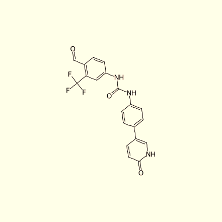 O=Cc1ccc(NC(=O)Nc2ccc(-c3ccc(=O)[nH]c3)cc2)cc1C(F)(F)F